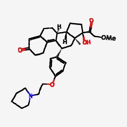 COCC(=O)[C@@]1(O)CC[C@H]2[C@@H]3CCC4=CC(=O)CCC4=C3[C@@H](c3ccc(OCCN4CCCCC4)cc3)C[C@@]21C